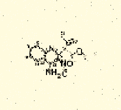 CCOC[C@H](c1nc2ccccc2c(N)c1[N+](=O)[O-])C(C)C